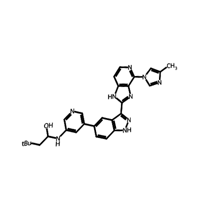 Cc1cn(-c2nccc3[nH]c(-c4n[nH]c5ccc(-c6cncc(NC(O)CC(C)(C)C)c6)cc45)nc23)cn1